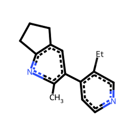 CCc1cnccc1-c1cc2c(nc1C)CCC2